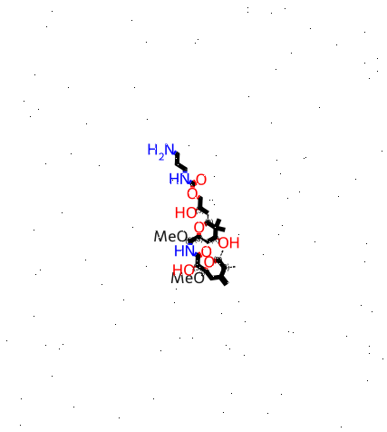 C=C1C[C@](OC)([C@H](O)C(=O)N[C@@H](OC)[C@@H]2C[C@@H](O)C(C)(C)[C@@H](C[C@H](O)COC(=O)NCCCN)O2)O[C@H](C)[C@@H]1C